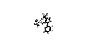 CS(=O)(=O)OCc1c(-c2ccccc2)nsc1C(F)(F)F